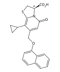 O=C(O)[C@@H]1CSc2c(C3CC3)c(COc3cccc4ccccc34)cc(=O)n21